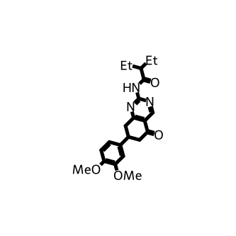 CCC(CC)C(=O)Nc1ncc2c(n1)CC(c1ccc(OC)c(OC)c1)CC2=O